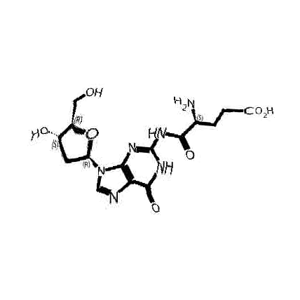 N[C@@H](CCC(=O)O)C(=O)Nc1nc2c(ncn2[C@H]2C[C@H](O)[C@@H](CO)O2)c(=O)[nH]1